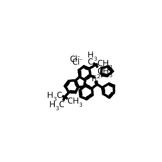 CC(C)(C)c1ccc2c(c1)Cc1c-2ccc(C(C)(C)C)[c]1[Ti+2]([C]1=CC=CC1)=[C](c1ccccc1)c1ccccc1.[Cl-].[Cl-]